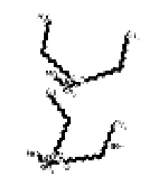 CCCCCCCC/C=C\CCCCCCCC(=O)OCC(C[N+](C)(C)CCO)OC(=O)CCCCCCC/C=C\CCCCCCCC.CCCCCCCC/C=C\CCCCCCCCOCC(C[N+](C)(C)CCCO)OCCCCCCCC/C=C\CCCCCCCC.[Br-].[Br-]